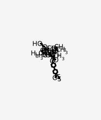 CC(C[Si](C)(O[Si](C)(C)C)O[Si](C)(CC(C)C(=O)OC1CCC(C2CCC(P(=O)=S=S)CC2)CC1)O[SiH](C)O[Si](C)(C)C)C(=O)OCCO